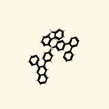 c1ccc(-c2ccccc2-c2ccc(N(c3ccc(-c4cc5ccccc5cc4-c4ccccc4)cc3)c3cccc4sc5ccccc5c34)cc2)cc1